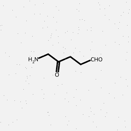 NCC(=O)CCC=O